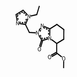 CCn1ccnc1Cn1nc2n(c1=O)C(C(=O)OC)CCC2